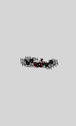 CC(C)=CCC[C@](C)(O[C@H]1O[C@H](CO[C@@H]2OC[C@H](O)[C@H](O)[C@H]2O)[C@@H](O)[C@H](O)[C@H]1O)[C@H]1CC[C@]2(C)[C@@H]1[C@H](O)C[C@@H]1[C@@]3(C)CC[C@H](O[C@H]4O[C@H](CO)[C@H](O)[C@H](O)[C@H]4O[C@@H]4O[C@H](CO)[C@@H](O)[C@H](O)[C@H]4O)C(C)(C)[C@@H]3CC[C@]12C